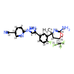 C[C@]1(c2cc(-c3cn(-c4ccc(C#N)cn4)nn3)ccc2F)C[C@@H](C(F)(F)F)OC(N)=N1